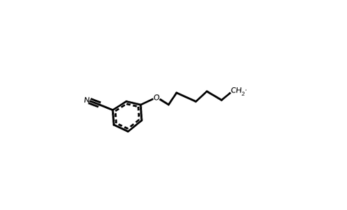 [CH2]CCCCCOc1cccc(C#N)c1